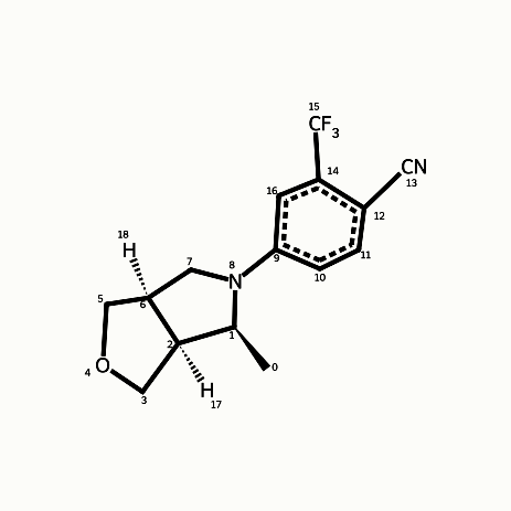 C[C@H]1[C@H]2COC[C@H]2CN1c1ccc(C#N)c(C(F)(F)F)c1